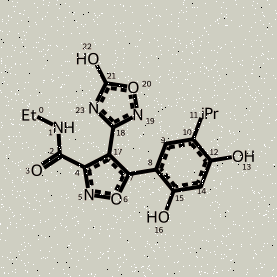 CCNC(=O)c1noc(-c2cc(C(C)C)c(O)cc2O)c1-c1noc(O)n1